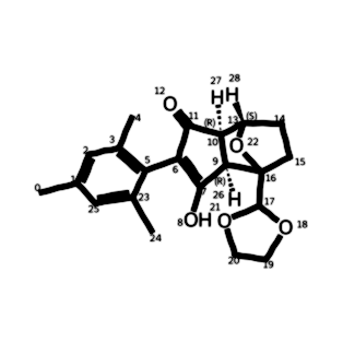 Cc1cc(C)c(C2=C(O)[C@H]3[C@@H](C2=O)[C@@H]2CCC3(C3OCCO3)O2)c(C)c1